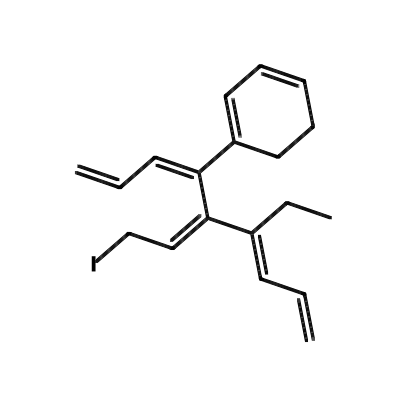 C=C\C=C(C1=CC=CCC1)/C(=C\CI)C(=C/C=C)/CC